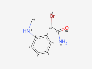 CNc1ccccc1.NC(=O)CBr